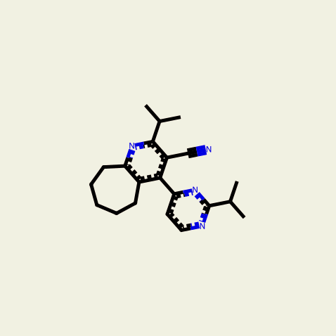 CC(C)c1nccc(-c2c(C#N)c(C(C)C)nc3c2CCCCC3)n1